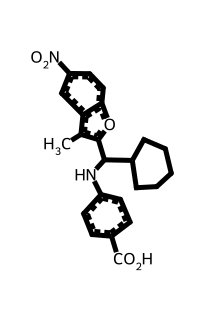 Cc1c(C(Nc2ccc(C(=O)O)cc2)C2CCCCC2)oc2ccc([N+](=O)[O-])cc12